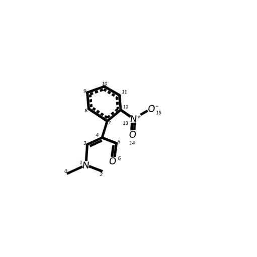 CN(C)C=C(C=O)c1ccccc1[N+](=O)[O-]